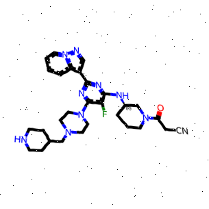 N#CCC(=O)N1CCC[C@@H](Nc2nc(-c3cnn4ccccc34)nc(N3CCN(CC4CCNCC4)CC3)c2F)C1